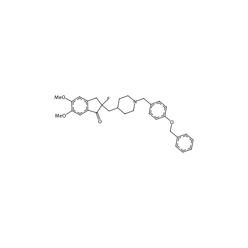 COc1cc2c(cc1OC)C(=O)C(F)(CC1CCN(Cc3ccc(OCc4ccccc4)cc3)CC1)C2